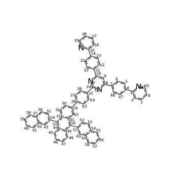 c1ccc(-c2ccc(-c3cc(-c4ccc(-c5ccccn5)cc4)nc(-c4ccc(-c5ccc6c(-c7ccc8ccccc8c7)c7ccccc7c(-c7ccc8ccccc8c7)c6c5)cc4)n3)cc2)nc1